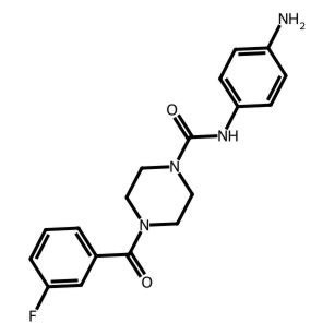 Nc1ccc(NC(=O)N2CCN(C(=O)c3cccc(F)c3)CC2)cc1